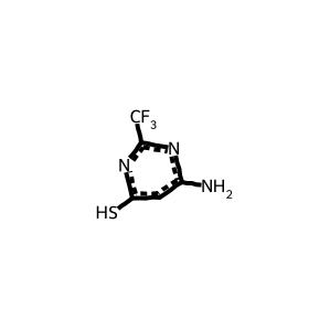 Nc1cc(S)nc(C(F)(F)F)n1